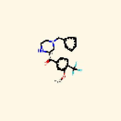 COc1cc(C(=O)[C@H]2CN(Cc3ccccc3)CCN2)ccc1C(F)(F)F